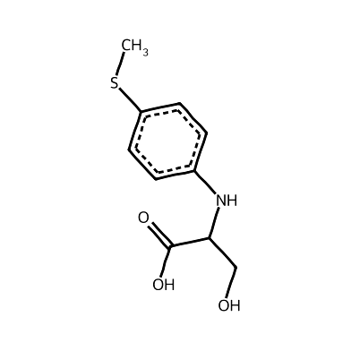 CSc1ccc(NC(CO)C(=O)O)cc1